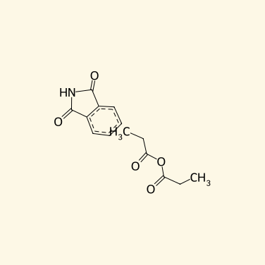 CCC(=O)OC(=O)CC.O=C1NC(=O)c2ccccc21